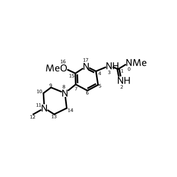 CNC(=N)Nc1ccc(N2CCN(C)CC2)c(OC)n1